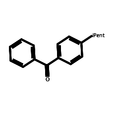 CCCC(C)c1ccc(C(=O)c2ccccc2)cc1